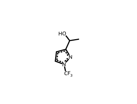 CC(O)c1ccn(C(F)(F)F)n1